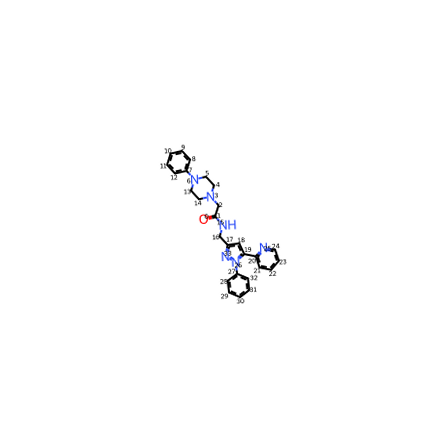 O=C(CN1CCN(c2ccccc2)CC1)NCc1cc(-c2ccccn2)n(-c2ccccc2)n1